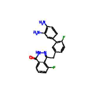 Nc1ccc(-c2cc(Cc3n[nH]c(=O)c4cccc(F)c34)ccc2F)cc1N